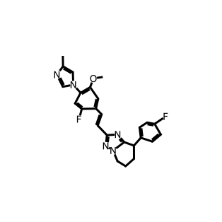 COc1cc(C=Cc2nc3n(n2)CCCC3c2ccc(F)cc2)c(F)cc1-n1cnc(C)c1